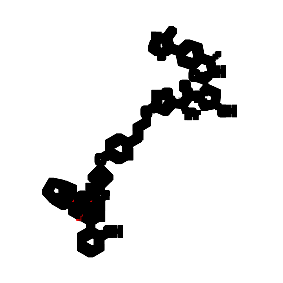 Cc1ncsc1-c1ccc([C@H](C)NC(=O)[C@@H]2C[C@@H](O)CN2C(=O)[C@H](c2cc(OC/C=C/c3ccc(O[C@H]4C[C@H](Oc5cc(N6C7CCC6CN(c6cc(-c8ccccc8O)nnc6N)C7)ccn5)C4)cn3)no2)C(C)C)cc1